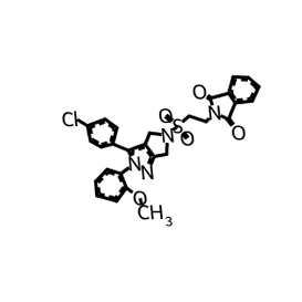 COc1ccccc1-n1nc2c(c1-c1ccc(Cl)cc1)CN(S(=O)(=O)CCN1C(=O)c3ccccc3C1=O)C2